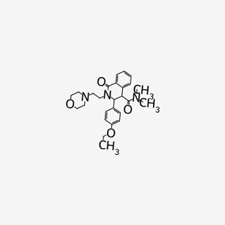 CCOc1ccc(C2C(C(=O)N(C)C)c3ccccc3C(=O)N2CCN2CCOCC2)cc1